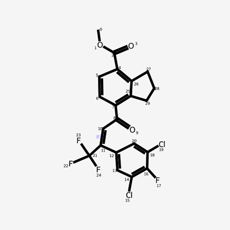 COC(=O)c1ccc(C(=O)/C=C(\c2cc(Cl)c(F)c(Cl)c2)C(F)(F)F)c2c1CCC2